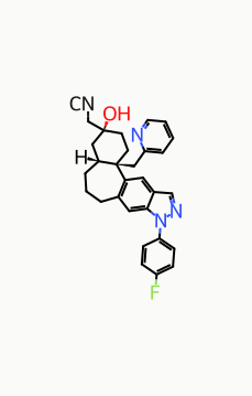 N#CC[C@]1(O)CC[C@]2(Cc3ccccn3)c3cc4cnn(-c5ccc(F)cc5)c4cc3CCC[C@@H]2C1